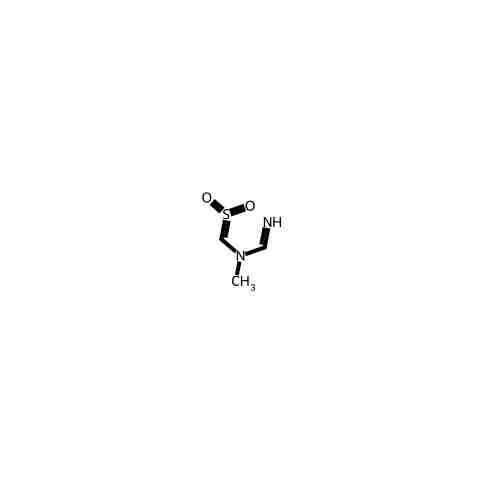 CN(C=N)C=S(=O)=O